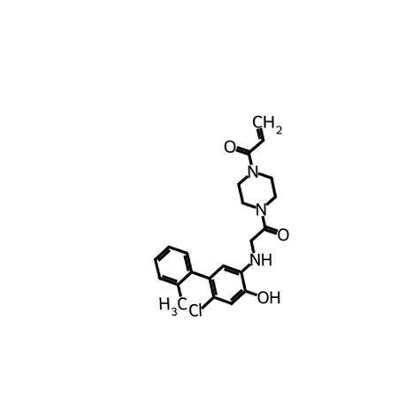 C=CC(=O)N1CCN(C(=O)CNc2cc(-c3ccccc3C)c(Cl)cc2O)CC1